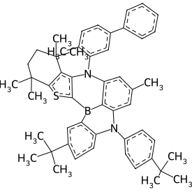 Cc1cc2c3c(c1)N(c1cc(-c4ccccc4)ccc1C)c1c(sc4c1C(C)(C)CCC4(C)C)B3c1cc(C(C)(C)C)ccc1N2c1ccc(C(C)(C)C)cc1